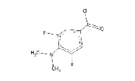 CN(C)c1c(F)cc(C(=O)Cl)cc1F